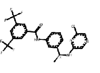 C[C@H](Nc1cncc(Cl)n1)c1cccc(NC(=O)c2cc(C(F)(F)F)cc(C(F)(F)F)c2)c1